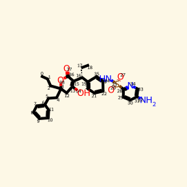 CCCC1(CCc2ccccc2)CC(O)=C([C@H](CC)c2cccc(NS(=O)(=O)c3ccc(N)cn3)c2)C(=O)O1